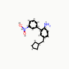 Nc1ccc(CC2CCCC2)cc1-c1cccc([N+](=O)[O-])c1